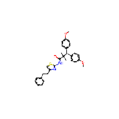 COc1ccc(C(c2ccc(OC)cc2)C(C)(C)C(=O)Nc2nc(CCc3ccccc3)cs2)cc1